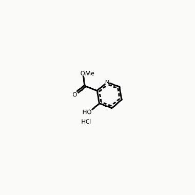 COC(=O)c1ncccc1O.Cl